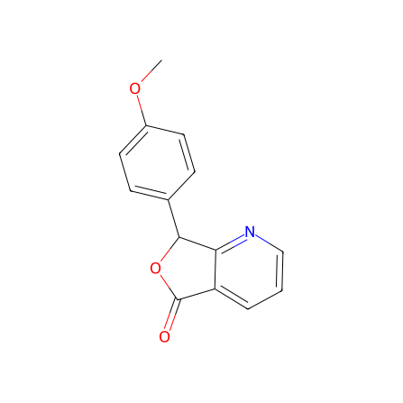 COc1ccc(C2OC(=O)c3cccnc32)cc1